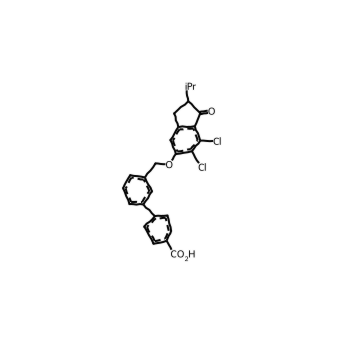 CC(C)C1Cc2cc(OCc3cccc(-c4ccc(C(=O)O)cc4)c3)c(Cl)c(Cl)c2C1=O